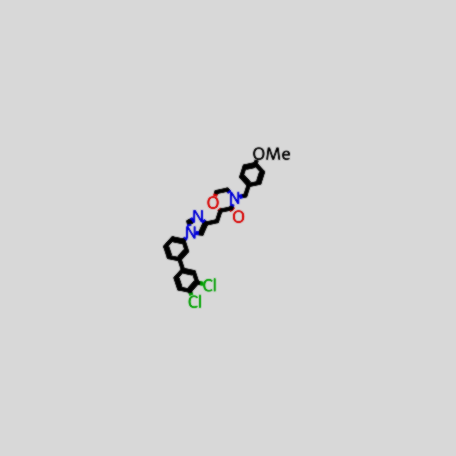 COc1ccc(CN2CCOC(Cc3cn(-c4cccc(-c5ccc(Cl)c(Cl)c5)c4)cn3)C2=O)cc1